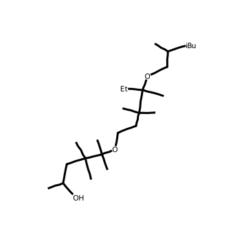 CCC(C)C(C)COC(C)(CC)C(C)(C)CCOC(C)(C)C(C)(C)CC(C)O